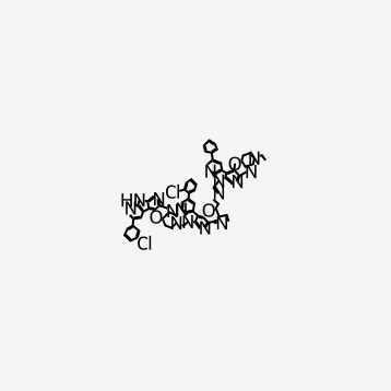 CCCC(CC/N=C/n1c2cnc(C#N)c(OC3CCN(CC)CC3)c2c2cc(-c3ccccc3)cnc21)Oc1c(C#N)ncc2c1c1cc(-c3ccccc3Cl)cnc1n2CN1CCC(Oc2c(C#N)ncc3[nH]c4ncc(-c5cccc(Cl)c5)cc4c23)CC1